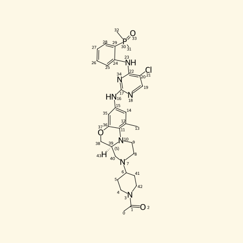 CC(=O)N1CCC(N2CCN3c4c(C)cc(Nc5ncc(Cl)c(Nc6ccccc6P(C)(C)=O)n5)cc4OC[C@@H]3C2)CC1